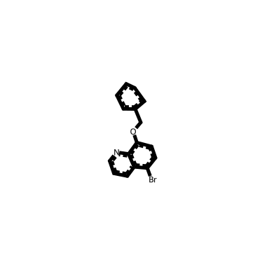 Brc1ccc(OCc2ccccc2)c2ncccc12